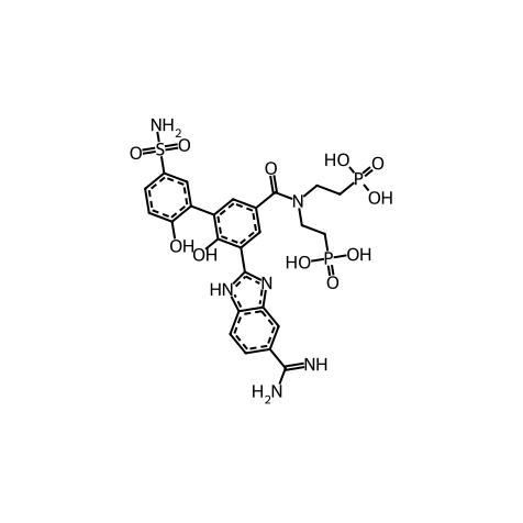 N=C(N)c1ccc2[nH]c(-c3cc(C(=O)N(CCP(=O)(O)O)CCP(=O)(O)O)cc(-c4cc(S(N)(=O)=O)ccc4O)c3O)nc2c1